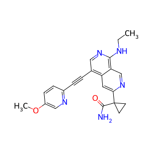 CCNc1ncc(C#Cc2ccc(OC)cn2)c2cc(C3(C(N)=O)CC3)ncc12